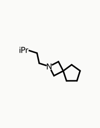 CC(C)CCN1CC2(CCCC2)C1